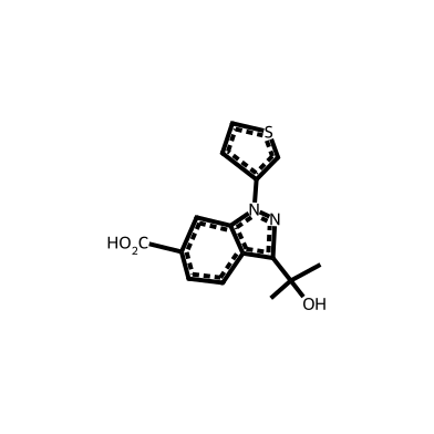 CC(C)(O)c1nn(-c2ccsc2)c2cc(C(=O)O)ccc12